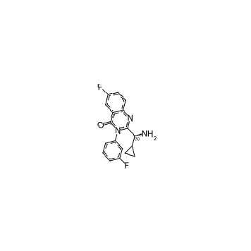 N[C@H](c1nc2ccc(F)cc2c(=O)n1-c1cccc(F)c1)C1CC1